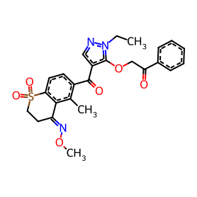 CCn1ncc(C(=O)c2ccc3c(c2C)C(=NOC)CCS3(=O)=O)c1OCC(=O)c1ccccc1